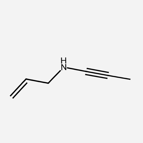 C=CCNC#CC